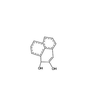 OC1=Cc2cccc3cccc(c23)C1O